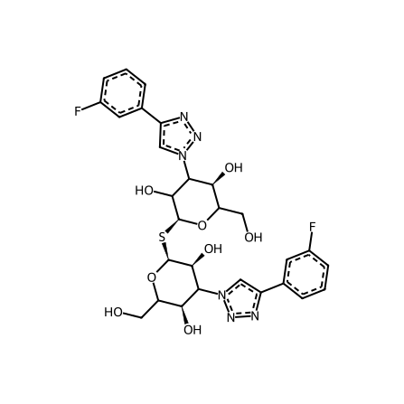 OCC1O[C@@H](S[C@@H]2OC(CO)[C@H](O)C(n3cc(-c4cccc(F)c4)nn3)[C@@H]2O)C(O)C(n2cc(-c3cccc(F)c3)nn2)[C@H]1O